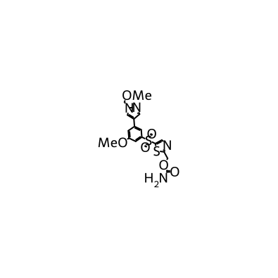 COCn1cc(-c2cc(OC)cc(S(=O)(=O)c3cnc(COC(N)=O)s3)c2)cn1